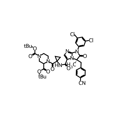 CC(C)(C)OC(=O)C1CN(C(=O)OC(C)(C)C)CCN1C(=O)C1(NC(=O)c2cnc3n2[C@](C)(Cc2ccc(C#N)cc2)C(=O)N3c2cc(Cl)cc(Cl)c2)CC1